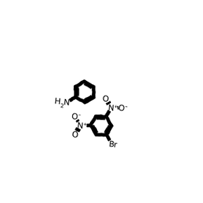 Nc1ccccc1.O=[N+]([O-])c1cc(Br)cc([N+](=O)[O-])c1